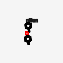 CCCCCCCCCC1CCC(COC2CCC(C)CC2)CC1